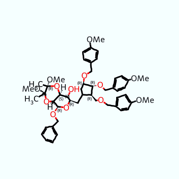 COc1ccc(COC[C@H]2C(C[C@H]3O[C@@H](OCc4ccccc4)[C@@H]4O[C@@](C)(OC)[C@](C)(OC)O[C@H]4[C@H]3O)C[C@@H](OCc3ccc(OC)cc3)[C@@H]2OCc2ccc(OC)cc2)cc1